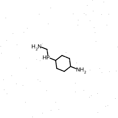 NCPC1CCC(N)CC1